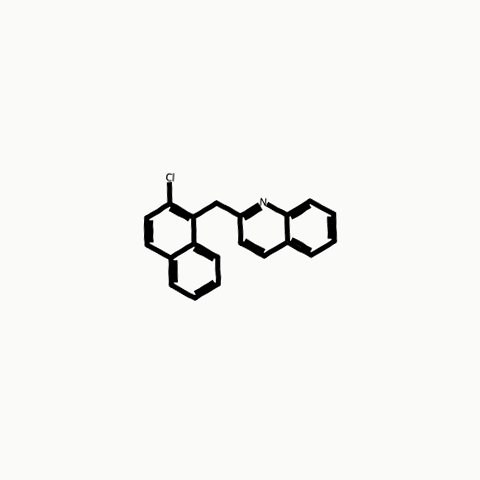 Clc1ccc2ccccc2c1Cc1ccc2ccccc2n1